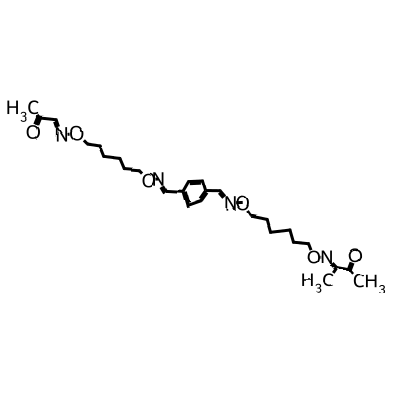 CC(=O)/C=N/OCCCCCCO/N=C/c1ccc(/C=N/OCCCCCCO/N=C(\C)C(C)=O)cc1